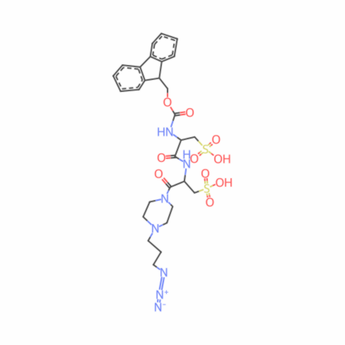 [N-]=[N+]=NCCCN1CCN(C(=O)C(CS(=O)(=O)O)NC(=O)C(CS(=O)(=O)O)NC(=O)OCC2c3ccccc3-c3ccccc32)CC1